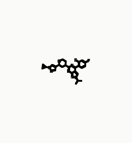 CC(C)n1cc2c(-c3ccc(F)cc3F)nc([C@@H]3CCO[C@H](c4cnn(C5CC5)c4)C3)nc2n1